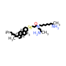 CC(C)CCC[C@@H](C)[C@H]1CC[C@H]2[C@@H]3CC=C4C[C@@H](SSCCC(=O)N(CCCCCCCC(C)N)CCC(C)N)CC[C@]4(C)[C@H]3CC[C@]12C